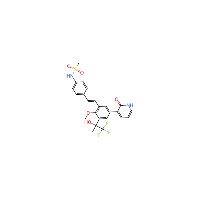 COc1c(/C=C/c2ccc(NS(C)(=O)=O)cc2)cc(-c2ccc[nH]c2=O)cc1C(C)(O)C(F)(F)F